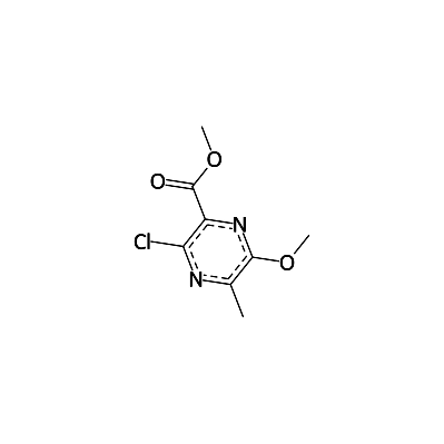 COC(=O)c1nc(OC)c(C)nc1Cl